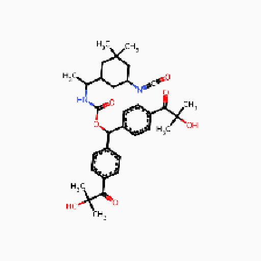 CC(NC(=O)OC(c1ccc(C(=O)C(C)(C)O)cc1)c1ccc(C(=O)C(C)(C)O)cc1)C1CC(N=C=O)CC(C)(C)C1